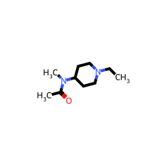 CCN1CCC(N(C)C(C)=O)CC1